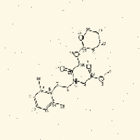 COC(=O)CN(CCc1c(C)cccc1C)C(=O)COC1CCCCO1